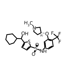 CN1CC[C@@H](Oc2cc(NS(=O)(=O)c3ccc(C(O)C4CCCCC4)s3)ccc2C(F)(F)F)C1